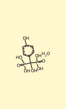 O.O=P(O)(O)C(O)(c1ccc(O)cc1)P(=O)(O)O